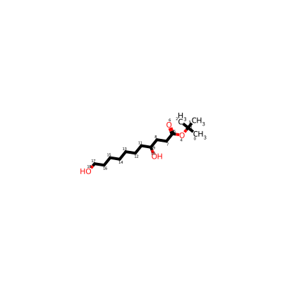 CC(C)(C)OC(=O)CCC(O)CCCCCCCO